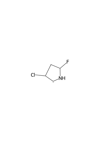 FC1CC(Cl)[CH]N1